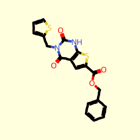 O=C(OCc1ccccc1)c1cc2c(=O)n(Cc3cccs3)c(=O)[nH]c2s1